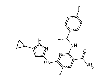 CC(Nc1nc(Nc2cc(C3CC3)[nH]n2)c(F)cc1C(N)=O)c1ccc(F)cc1